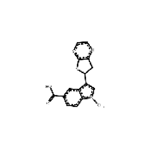 Cn1cc(C2Cc3nccnc3N2)c2cc(C(=O)O)ccc21